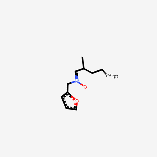 CCCCCCCCCC(C)/C=[N+](\[O-])Cc1ccco1